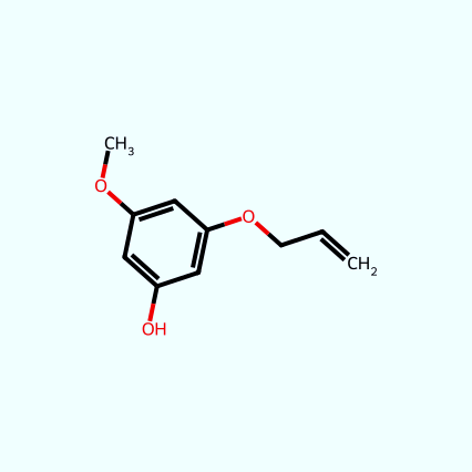 C=CCOc1cc(O)cc(OC)c1